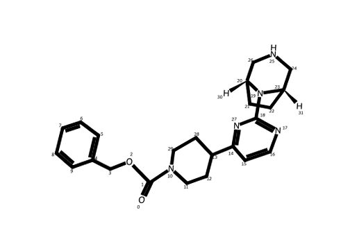 O=C(OCc1ccccc1)N1CCC(c2ccnc(N3[C@@H]4CC[C@H]3CNC4)n2)CC1